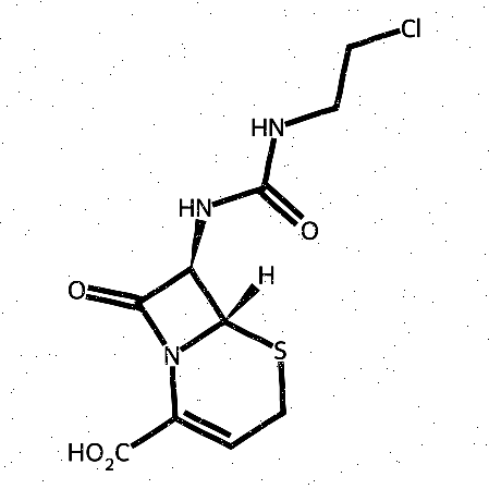 O=C(NCCCl)N[C@@H]1C(=O)N2C(C(=O)O)=CCS[C@@H]12